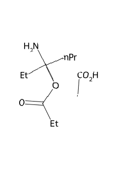 CC(=O)O.CCCC(N)(CC)OC(=O)CC